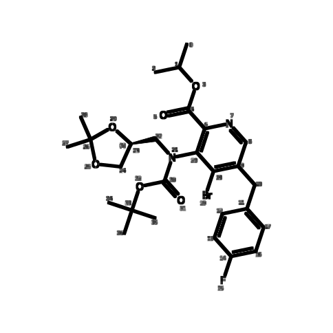 CC(C)OC(=O)c1ncc(Cc2ccc(F)cc2)c(Br)c1N(C[C@H]1COC(C)(C)O1)C(=O)OC(C)(C)C